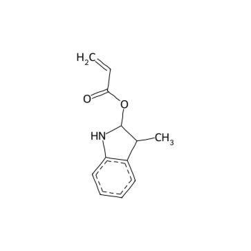 C=CC(=O)OC1Nc2ccccc2C1C